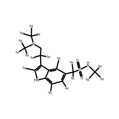 [2H]c1[nH]c2c([2H])c([2H])c(C([2H])([2H])S(=O)(=O)NC([2H])([2H])[2H])c([2H])c2c1C([2H])([2H])CN(C([2H])([2H])[2H])C([2H])([2H])[2H]